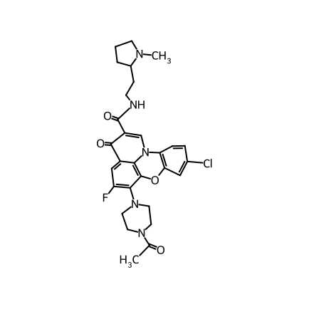 CC(=O)N1CCN(c2c(F)cc3c(=O)c(C(=O)NCCC4CCCN4C)cn4c3c2Oc2cc(Cl)ccc2-4)CC1